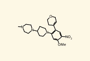 COc1cc(N2CCC(N3CCN(C)CC3)CC2)c(C2=CCOCC2)cc1[N+](=O)[O-]